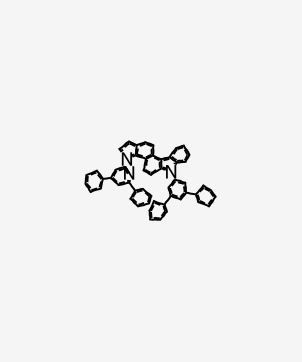 c1ccc(-c2cc(-c3ccccc3)cc(-n3c4ccccc4c4c5ccc6ccn(-c7cc(-c8ccccc8)cc(-c8ccccc8)n7)c6c5ccc43)c2)cc1